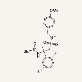 COc1ccc(CN(C)S(=O)(=O)CC(C)(N[S@+]([O-])C(C)(C)C)c2cc(Br)ccc2F)cc1